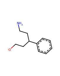 NCCC(CC[O])c1ccccc1